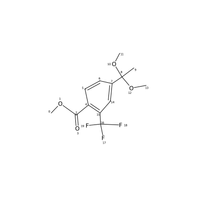 COC(=O)c1ccc(C(C)(OC)OC)cc1C(F)(F)F